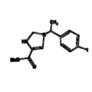 COC(=O)C1=CN(C(C)c2ccc(I)cc2)CN1